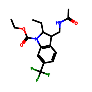 CCOC(=O)N1c2cc(C(F)(F)F)ccc2C(CNC(C)=O)C1CC